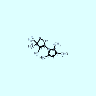 Cc1cc(C=O)c(C)n1C1=C(C#N)C(C)(C)CO1